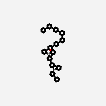 c1ccc(-c2cccc(-c3ccc(-c4cccc(-c5cccc(-c6ccc(-c7ccc(-c8ccccc8-n8c9ccccc9c9cc(-c%10ccc%11c(c%10)c%10ccccc%10n%11-c%10cccc(-c%11ccccc%11)c%10)ccc98)cc7)cc6)c5)c4)cc3)c2)cc1